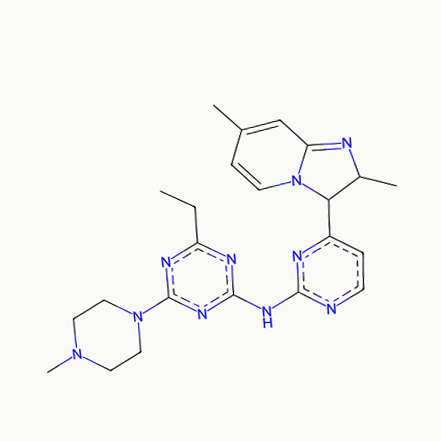 CCc1nc(Nc2nccc(C3C(C)N=C4C=C(C)C=CN43)n2)nc(N2CCN(C)CC2)n1